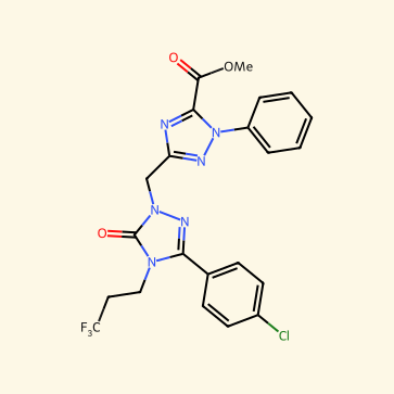 COC(=O)c1nc(Cn2nc(-c3ccc(Cl)cc3)n(CCC(F)(F)F)c2=O)nn1-c1ccccc1